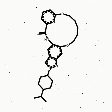 CC(C)C1CCC(n2cc3cc4c(cc3n2)OCCCCCOc2cccc(n2)C(=O)N4)CC1